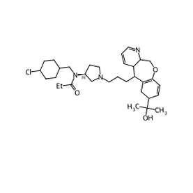 CCC(=O)N(CC1CCC(Cl)CC1)[C@H]1CCN(CCCC2C3=C(C=CC(C(C)(C)O)C3)OCC3N=CC=CC32)C1